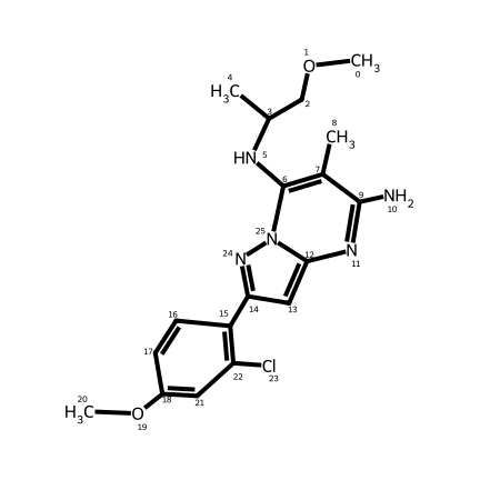 COCC(C)Nc1c(C)c(N)nc2cc(-c3ccc(OC)cc3Cl)nn12